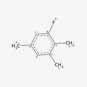 [CH2]c1c(C)cc(C)cc1F